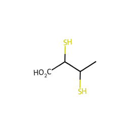 CC(S)C(S)C(=O)O